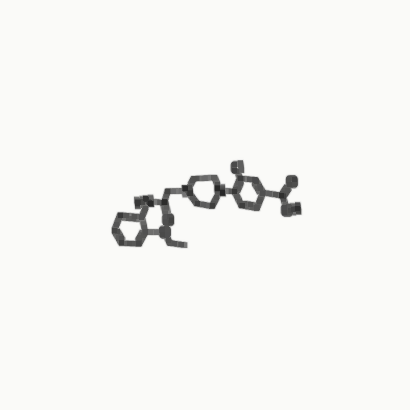 CCOc1ccccc1NC(=O)CN1CCN(c2ccc(C(=O)O)cc2Cl)CC1